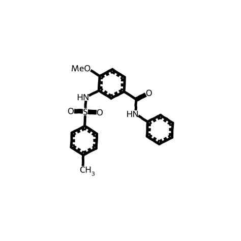 COc1ccc(C(=O)Nc2ccccc2)cc1NS(=O)(=O)c1ccc(C)cc1